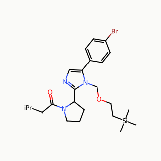 CC(C)[CH]C(=O)N1CCCC1c1ncc(-c2ccc(Br)cc2)n1COCC[Si](C)(C)C